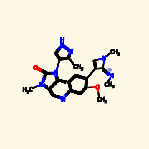 C/N=C1\C(c2cc3c(cc2OC)ncc2c3n(-c3c[nH]nc3C)c(=O)n2C)=CN1C